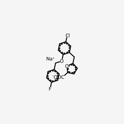 O=C([O-])c1ccc(Cc2cc(Cl)ccc2OCc2ccc(F)cc2)o1.[Na+]